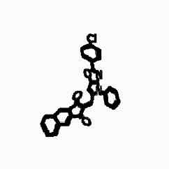 O=C1C(=Cc2cc3oc(-c4ccc(Cl)cc4)nc3n2-c2ccccc2)C(=O)c2cc3ccccc3cc21